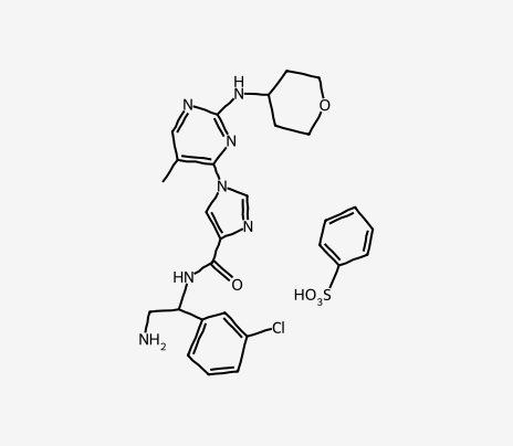 Cc1cnc(NC2CCOCC2)nc1-n1cnc(C(=O)NC(CN)c2cccc(Cl)c2)c1.O=S(=O)(O)c1ccccc1